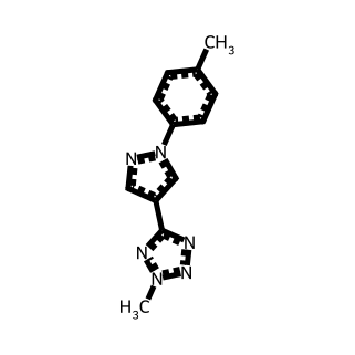 Cc1ccc(-n2cc(-c3nnn(C)n3)cn2)cc1